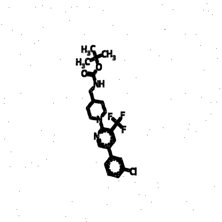 CC(C)(C)OC(=O)NCC1CCN(c2ncc(-c3cccc(Cl)c3)cc2C(F)(F)F)CC1